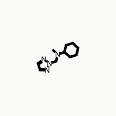 CN(Cn1nccn1)C1CCCCC1